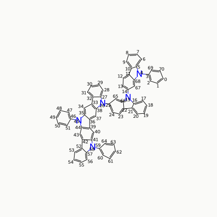 c1ccc(-n2c3ccccc3c3ccc(-n4c5ccccc5c5ccc(-n6c7ccccc7c7cc8c(cc76)c6cc7c(cc6n8-c6ccccc6)c6ccccc6n7-c6ccccc6)cc54)cc32)cc1